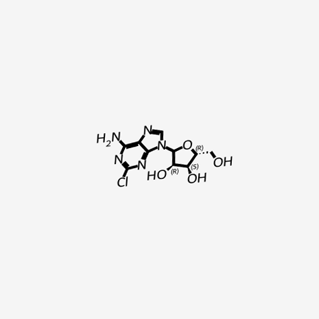 Nc1nc(Cl)nc2c1ncn2C1O[C@H](CO)[C@@H](O)[C@H]1O